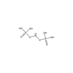 O=P(O)(O)ONOP(=O)(O)O